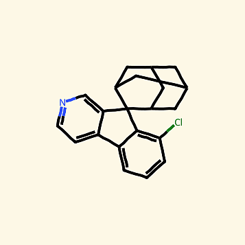 Clc1cccc2c1C1(c3cnccc3-2)C2CC3CC(C2)CC1C3